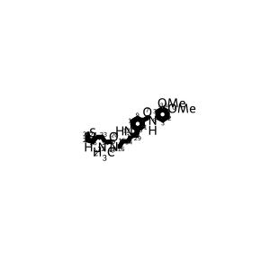 COc1ccc(NC(=O)c2ccc3[nH]c(CCCN(C)C(=O)C(N)Cc4cccs4)cc3c2)cc1OC